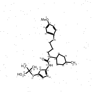 COc1ccc(SCCCN(C(=O)Nc2ncc(SC(C)(C)C(=O)O)s2)C2CCC(C)CC2)cc1